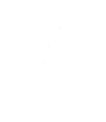 O=C([C@H]1CNCCN1)N1CCN(c2nc3ccccc3s2)CC1